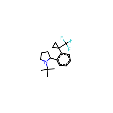 CC(C)(C)N1CCCC1c1ccccc1C1(C(F)(F)F)CC1